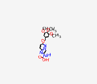 COc1cc(COc2ccc3nc(NC(=O)O)cn3n2)cc(OC)c1OC